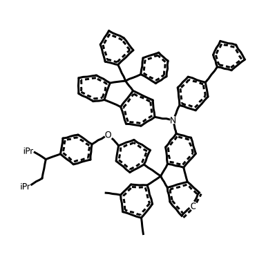 Cc1cc(C)cc(C2(c3ccc(Oc4ccc(C(CC(C)C)C(C)C)cc4)cc3)c3ccccc3-c3ccc(N(c4ccc(-c5ccccc5)cc4)c4ccc5c(c4)C(c4ccccc4)(c4ccccc4)c4ccccc4-5)cc32)c1